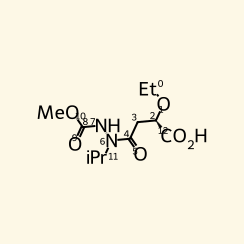 CCO[C@H](CC(=O)N(NC(=O)OC)C(C)C)C(=O)O